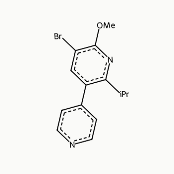 COc1nc(C(C)C)c(-c2ccncc2)cc1Br